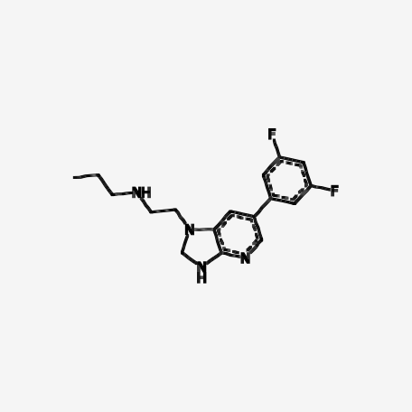 CCCNCCN1CNc2ncc(-c3cc(F)cc(F)c3)cc21